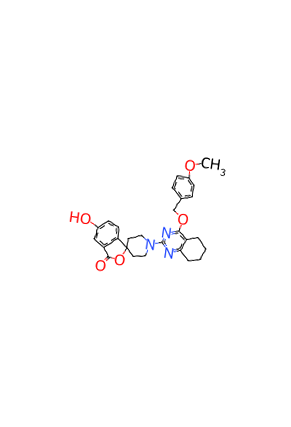 COc1ccc(COc2nc(N3CCC4(CC3)OC(=O)c3cc(O)ccc34)nc3c2CCCC3)cc1